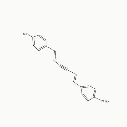 CCCCCCc1ccc(C=CC#CC=Cc2ccc(CCC)cc2)cc1